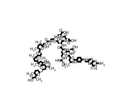 CO[C@@H]1C[C@@H](C[C@H]2CC[C@H](C)C([C@@H](C)C(=O)O)O2)O[C@]2(O[C@@](C)(C3CC[C@@](C)([C@@H]4O[C@@H]([C@@H]5O[C@@](O)(COC(=O)NCCSSC[C@H](NC(=O)[C@H](CC(=O)O)NC(=O)[C@H](CC(=O)O)NC(=O)[C@H](CCCNC(=N)N)NC(=O)[C@H](CC(=O)O)NC(=O)CC[C@@H](C)NC(=O)c6ccc(NCc7cnc8nc(N)[nH]c(=O)c8n7)cc6)C(=O)O)[C@H](C)C[C@@H]5C)C[C@@H]4C)O3)C[C@H]2C)[C@@H]1C